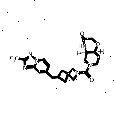 O=C1CO[C@H]2CCN(C(=O)N3CC4(CC(Cc5ccn6nc(C(F)(F)F)nc6c5)C4)C3)C[C@H]2N1